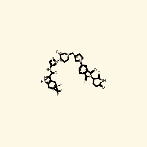 C[C@@]12Cc3[nH]nc(C(=O)Nc4cnn([C@H]5CCN(C[C@H]6CCN(c7ccc8c(c7)C(=O)N(C7CCC(=O)NC7=O)C8=O)C6)C[C@@H]5F)c4)c3C[C@@H]1C2(F)F